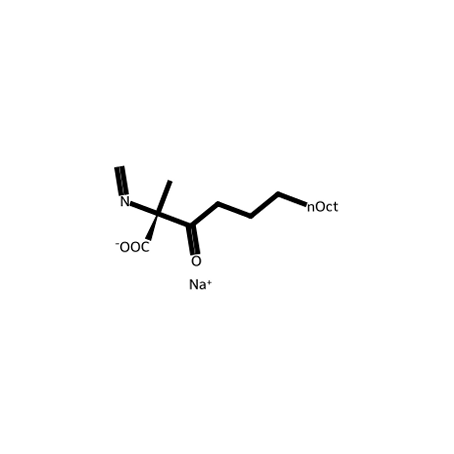 C=N[C@@](C)(C(=O)[O-])C(=O)CCCCCCCCCCC.[Na+]